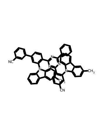 Cc1ccc2c(c1)c1ccccc1n2-c1cc(C#N)ccc1-c1nc(-c2ccccc2)nc(-c2ccc(-c3cccc(C#N)c3)cc2-n2c3ccccc3c3cc(C)ccc32)n1